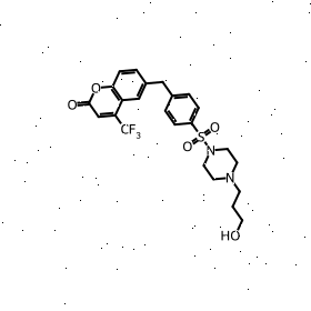 O=c1cc(C(F)(F)F)c2cc(Cc3ccc(S(=O)(=O)N4CCN(CCCO)CC4)cc3)ccc2o1